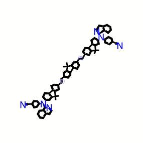 CC1(C)c2cc(/C=C/c3ccc4c(c3)C(C)(C)c3cc(N(c5ccc(C#N)cc5)c5nccc6ccccc56)ccc3-4)ccc2-c2ccc(/C=C/c3ccc4c(c3)C(C)(C)c3cc(N(c5ccc(C#N)cc5)c5nccc6ccccc56)ccc3-4)cc21